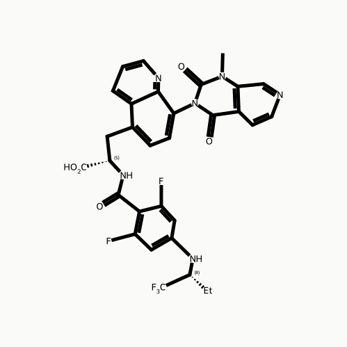 CC[C@@H](Nc1cc(F)c(C(=O)N[C@@H](Cc2ccc(-n3c(=O)c4ccncc4n(C)c3=O)c3ncccc23)C(=O)O)c(F)c1)C(F)(F)F